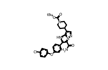 CC(C)(C)OC(=O)N1CCC(c2cnn3c(C(N)=O)c(-c4ccc(Oc5ccc(Cl)cc5)cc4)[nH]c23)CC1